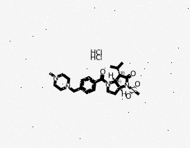 CC(C)[C@H]1C(=O)N(S(C)(=O)=O)[C@H]2CCN(C(=O)c3ccc(CN4CCN(C)CC4)cc3)[C@H]12.Cl.Cl